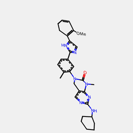 COC1=C(c2cnc(-c3ccc(C)c(N4Cc5cnc(NC6CCCCC6)nc5N(C)C4=O)c3)[nH]2)CCC=C1